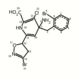 NC1(Cc2ccccc2Br)C=C(C2CC(Br)=NO2)NC(C(=O)O)=C1Cl